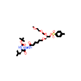 COCCOCO[C@@H](COCCCCCC(=O)NNC(=O)[C@@H](CC(C)C)NC(=O)OC(C)(C)C)COS(=O)(=O)c1ccc(C)cc1